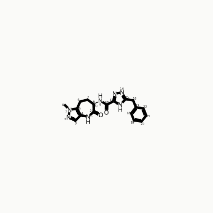 Cn1ncc2c1CC[C@H](NC(=O)c1nnc(Cc3ccccc3)[nH]1)C(=O)N2